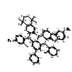 Cc1cc(C(C)(C)C)ccc1N1c2cc3c(cc2B2c4ccc5c(sc6ccc(C(C)(C)C)cc65)c4N(c4ccccc4C)c4cc(-c5ccccc5)cc1c42)C(C)(C)CCC3(C)C